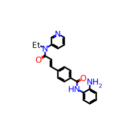 CCN(C(=O)C=Cc1ccc(C(=O)Nc2ccccc2N)cc1)c1cccnc1